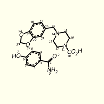 NC(=O)c1ccc(O)cc1.O=C(O)N1CCN(Cc2ccc3c(c2)OCO3)CC1